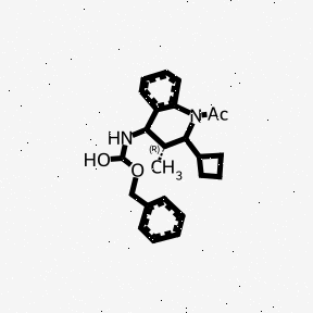 CC(=O)N1c2ccccc2C(NC(O)OCc2ccccc2)[C@@H](C)C1C1CCC1